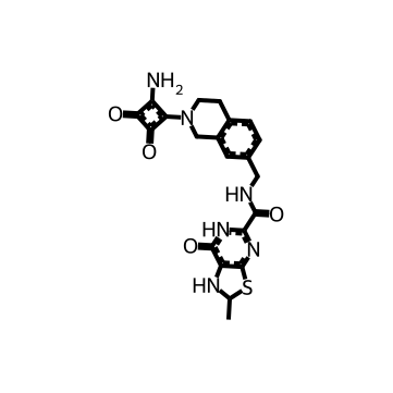 CC1Nc2c(nc(C(=O)NCc3ccc4c(c3)CN(c3c(N)c(=O)c3=O)CC4)[nH]c2=O)S1